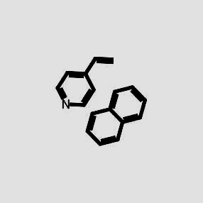 C=Cc1ccncc1.c1ccc2ccccc2c1